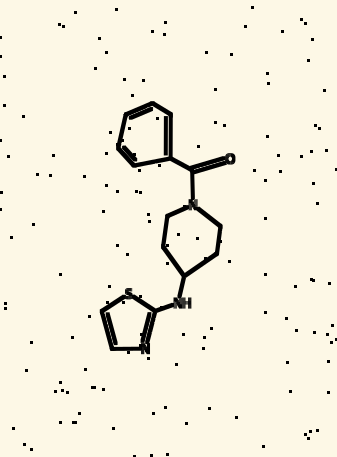 O=C(c1ccccc1)N1CCC(Nc2nccs2)CC1